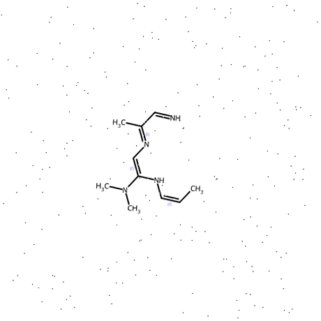 C/C=C\N/C(=C\N=C(/C)C=N)N(C)C